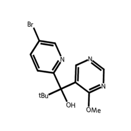 COc1ncncc1C(O)(c1ccc(Br)cn1)C(C)(C)C